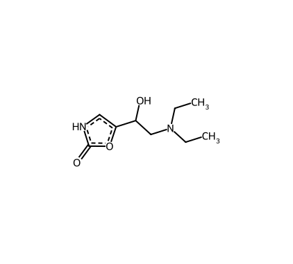 CCN(CC)CC(O)c1c[nH]c(=O)o1